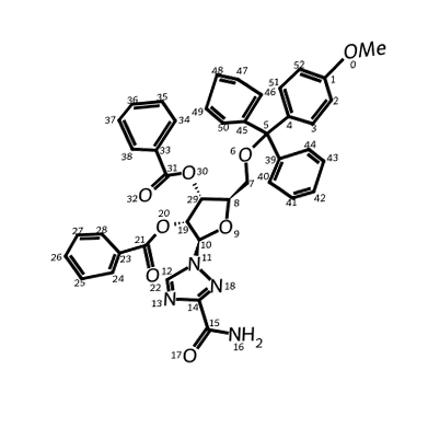 COc1ccc(C(OC[C@H]2O[C@@H](n3cnc(C(N)=O)n3)[C@H](OC(=O)c3ccccc3)[C@@H]2OC(=O)c2ccccc2)(c2ccccc2)c2ccccc2)cc1